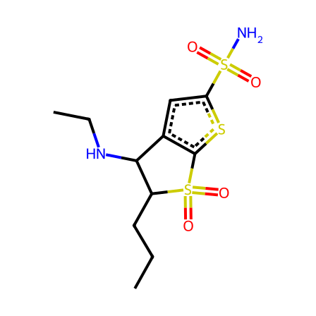 CCCC1C(NCC)c2cc(S(N)(=O)=O)sc2S1(=O)=O